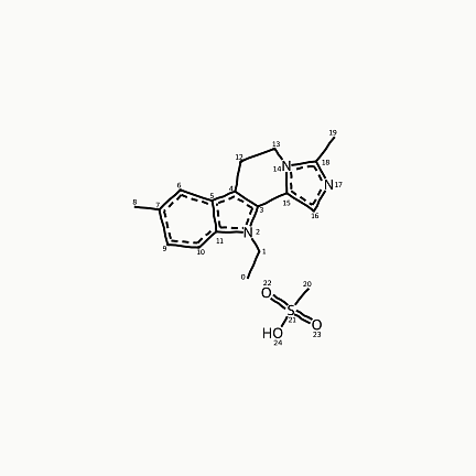 CCn1c2c(c3cc(C)ccc31)CCn1c-2cnc1C.CS(=O)(=O)O